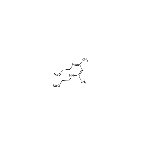 COCC/N=C(C)\C=C(\C)NCCOC